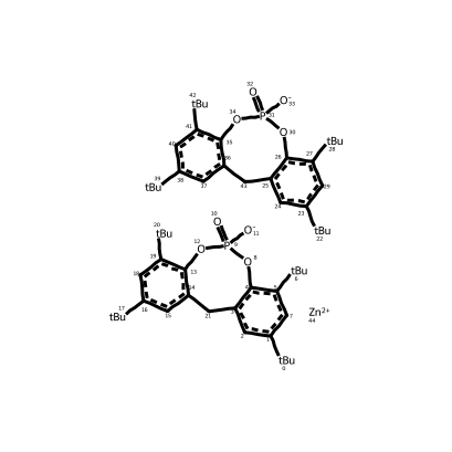 CC(C)(C)c1cc2c(c(C(C)(C)C)c1)OP(=O)([O-])Oc1c(cc(C(C)(C)C)cc1C(C)(C)C)C2.CC(C)(C)c1cc2c(c(C(C)(C)C)c1)OP(=O)([O-])Oc1c(cc(C(C)(C)C)cc1C(C)(C)C)C2.[Zn+2]